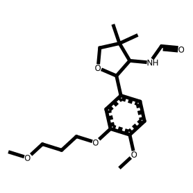 COCCCOc1cc(C2OCC(C)(C)C2NC=O)ccc1OC